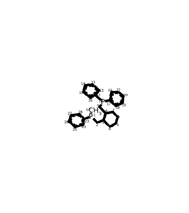 CP(CC1CCCCC1CP(c1ccccc1)c1ccccc1)c1ccccc1